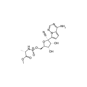 COC(=O)[C@H](C)N[PH](=O)OC[C@H]1O[C@@](C#N)(c2ccc3c(N)ncnn23)[C@H](O)[C@@H]1O